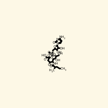 CCCC(C)C(=O)NC1C(O)CC(OP(=O)(O)OCC2OC(n3ccc(N)nc3=O)C(O)C2O)(C(=O)O)OC1C(O)C(O)CO